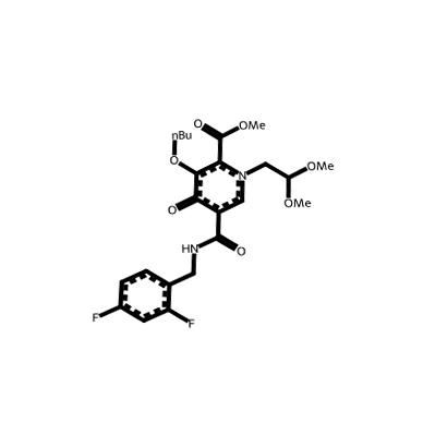 CCCCOc1c(C(=O)OC)n(CC(OC)OC)cc(C(=O)NCc2ccc(F)cc2F)c1=O